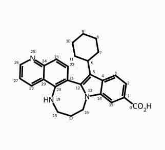 O=C(O)c1ccc2c(C3CCCCC3)c3n(c2c1)CCCNc1c-3ccc2ncccc12